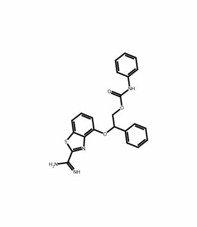 N=C(N)c1nc2c(OC(COC(=O)Nc3ccccc3)c3ccccc3)cccc2s1